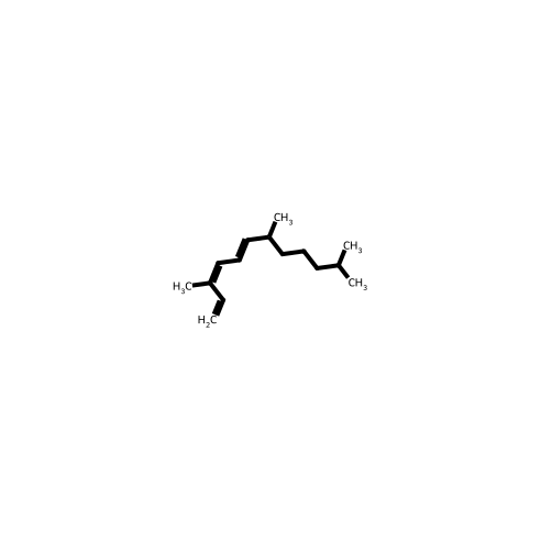 C=C/C(C)=C\C=C\C(C)CCCC(C)C